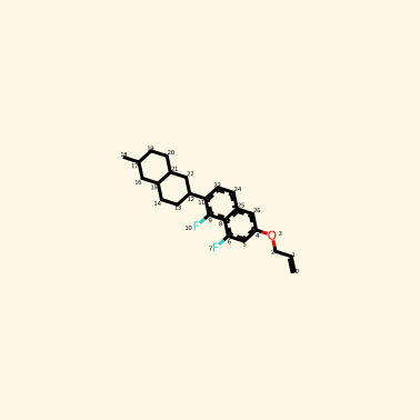 C=CCOc1cc(F)c2c(F)c(C3CCC4CC(C)CCC4C3)ccc2c1